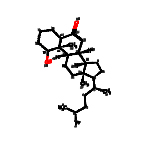 CC(C)[C@H](C)CC[C@@H](C)[C@H]1CC[C@H]2[C@@H]3CC(=O)C4CCCC(O)[C@]4(C)[C@H]3CC[C@]12C